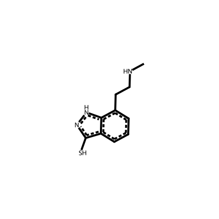 CNCCc1cccc2c(S)n[nH]c12